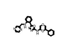 C1=CCCC(C2=COC=C(Nc3nnc(-c4ccccc4NCc4cnccn4)o3)O2)=C1